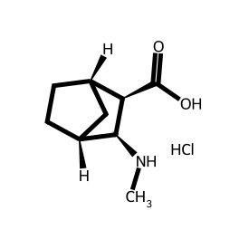 CN[C@H]1[C@@H]2CC[C@@H](C2)[C@H]1C(=O)O.Cl